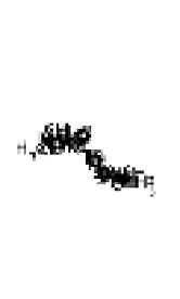 Cc1nn(C)c2ncc(C(=O)N[C@@H](CCN3CCC(c4cccc(NC(=O)C(C)C)c4)CC3)c3ccccc3)c(Cl)c12